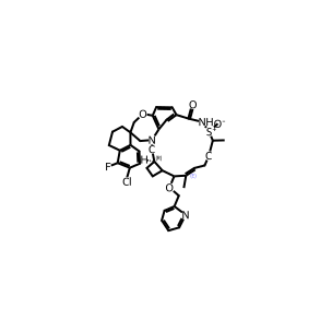 C/C1=C\CCC(C)[S+]([O-])NC(=O)c2ccc3c(c2)N(C[C@@H]2CCC2C1OCc1ccccn1)CC1(CCCc2c1ccc(Cl)c2F)CO3